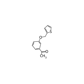 CC(=O)c1cccc(OCc2cccs2)c1